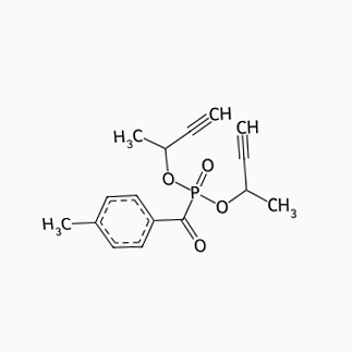 C#CC(C)OP(=O)(OC(C)C#C)C(=O)c1ccc(C)cc1